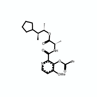 COc1ccnc(C(=O)N[C@@H](C)C(=O)O[C@@H](C)[C@@H](C)C2CCCC2)c1OC(=O)C(C)C